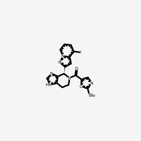 CC(C)(C)c1ncc(C(=O)N2CCc3[nH]cnc3[C@@H]2c2cc3c(F)cccn3n2)o1